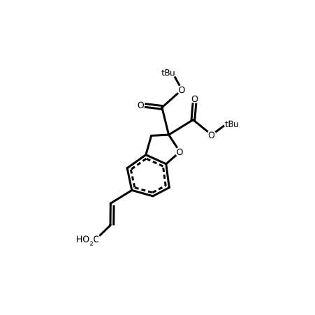 CC(C)(C)OC(=O)C1(C(=O)OC(C)(C)C)Cc2cc(/C=C/C(=O)O)ccc2O1